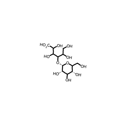 O=C(O)C(O)C(O)C(O[C@@H]1OC(CO)[C@H](O)C(O)[C@@H]1O)C(O)CO